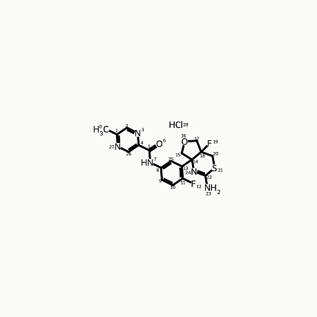 Cc1cnc(C(=O)Nc2ccc(F)c(C34COCC3(F)CSC(N)=N4)c2)cn1.Cl